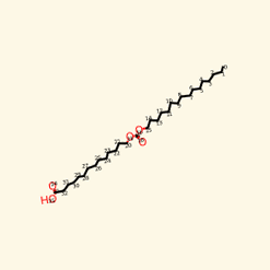 CCCCCCCCCCCCCCCCOC(=O)OCCCCCCCCCCCCCC(=O)O